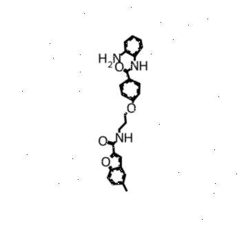 Cc1ccc2oc(C(=O)NCCCOc3ccc(C(=O)Nc4ccccc4N)cc3)cc2c1